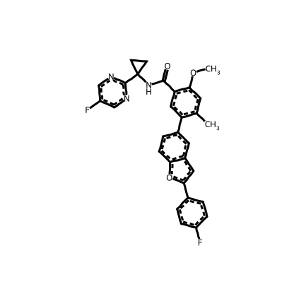 COc1cc(C)c(-c2ccc3oc(-c4ccc(F)cc4)cc3c2)cc1C(=O)NC1(c2ncc(F)cn2)CC1